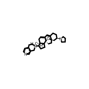 C[C@]12CC=C3C=C4CC[C@@H](N5CCCC5)C[C@]45CC[C@]3(O5)[C@@H]1CCC2N1CCc2ccncc2C1